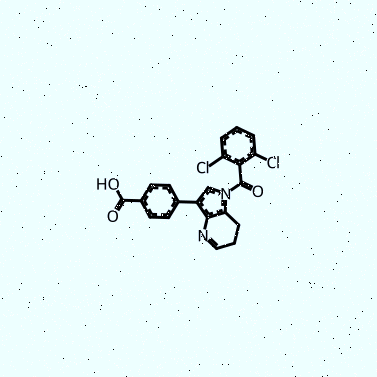 O=C(O)c1ccc(-c2cn(C(=O)c3c(Cl)cccc3Cl)c3c2N=CCC3)cc1